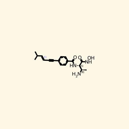 CC(C)/C=C/C#Cc1ccc(C(=O)N[C@H](C(=O)NO)[C@@H](C)N)cc1